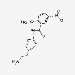 Cl.NCCc1ccc(NC(=O)c2cc([N+](=O)[O-])ccc2Cl)cc1